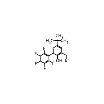 CC(C)(C)c1cc(CBr)c(O)c(-c2c(F)c(F)c(F)c(F)c2F)c1